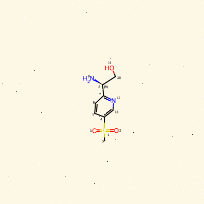 CS(=O)(=O)c1ccc([C@@H](N)CO)nc1